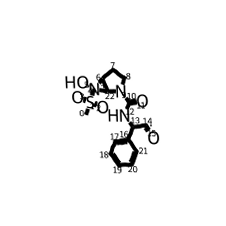 CS(=O)(=O)[N+]1(O)C2CCN(C(=O)NC([C]=O)c3ccccc3)C21